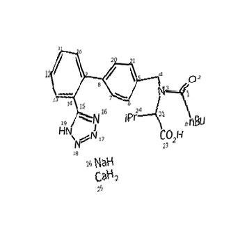 CCCCC(=O)N(Cc1ccc(-c2ccccc2-c2nnn[nH]2)cc1)C(C(=O)O)C(C)C.[CaH2].[NaH]